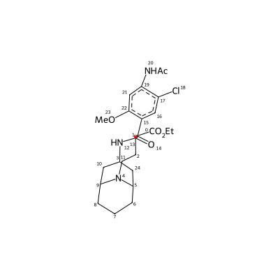 CCOC(=O)CCCN1C2CCCC1CC(NC(=O)c1cc(Cl)c(NC(C)=O)cc1OC)C2